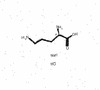 Cl.NCCC[C@@H](N)C(=O)O.[NaH]